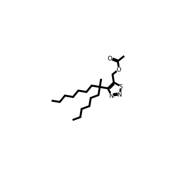 CCCCCCCC(C)(CCCCCC)c1nnsc1COC(C)=O